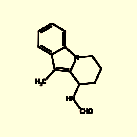 Cc1c2n(c3ccccc13)CCCC2NC=O